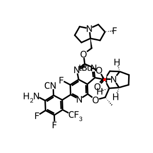 C[C@@H]1Oc2nc(-c3c(C#N)c(N)c(F)c(F)c3C(F)(F)F)c(F)c3nc(OC[C@@]45CCCN4C[C@H](F)C5)nc(c23)N2C[C@H]3CC[C@@H]([C@@H]12)N3C(=O)OC(C)(C)C